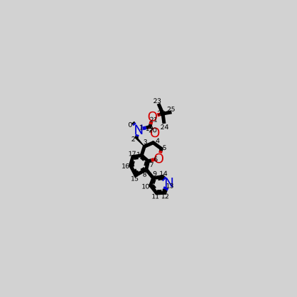 CN(C[C@H]1CCOc2c(-c3cccnc3)cccc21)C(=O)OC(C)(C)C